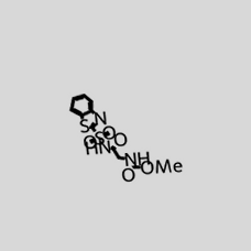 COC(=O)NCC(=O)NS(=O)(=O)c1nc2ccccc2s1